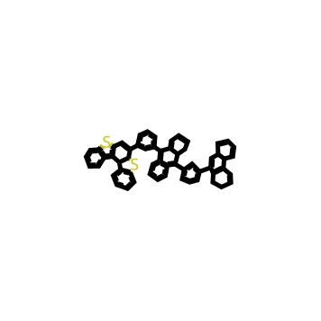 C1=CCC2C(=C1)C(c1cccc(C3=Cc4sc5ccccc5c4C4c5ccccc5SC34)c1)=c1ccccc1=C2c1cccc(C2=CC3C=CC=CC3C3=C2CCC=C3)c1